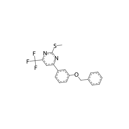 CSc1nc(-c2cccc(OCc3ccccc3)c2)cc(C(F)(F)F)n1